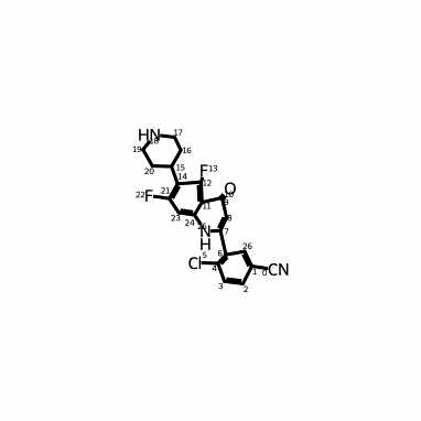 N#Cc1ccc(Cl)c(-c2cc(=O)c3c(F)c(C4CCNCC4)c(F)cc3[nH]2)c1